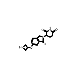 O=C1CCC(N2Cc3ccc(OC4CNC4)cc3C2=O)C(=O)N1